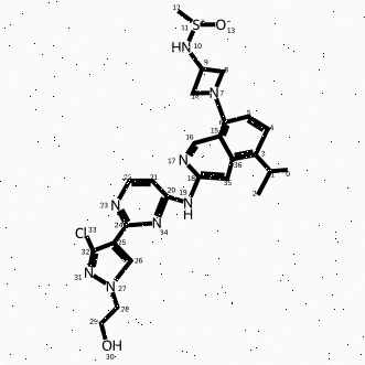 CC(C)c1ccc(N2CC(N[S+](C)[O-])C2)c2cnc(Nc3ccnc(-c4cn(CCO)nc4Cl)n3)cc12